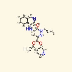 CCn1nc(C(=O)OC(C)c2ccncc2)cc(Nc2cncc3ccccc23)c1=O